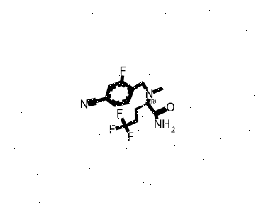 CN(Cc1ccc(C#N)cc1F)[C@H](CCC(F)(F)F)C(N)=O